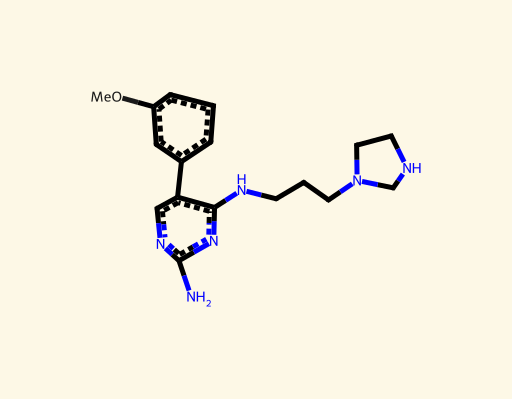 COc1cccc(-c2cnc(N)nc2NCCCN2CCNC2)c1